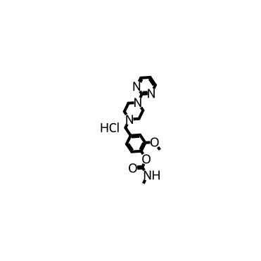 CNC(=O)Oc1ccc(CN2CCN(c3ncccn3)CC2)cc1OC.Cl